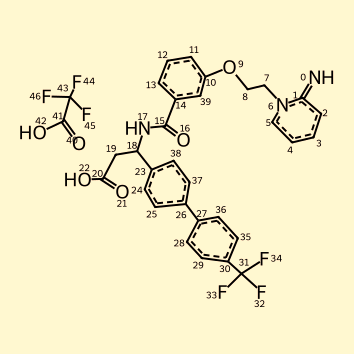 N=c1ccccn1CCOc1cccc(C(=O)NC(CC(=O)O)c2ccc(-c3ccc(C(F)(F)F)cc3)cc2)c1.O=C(O)C(F)(F)F